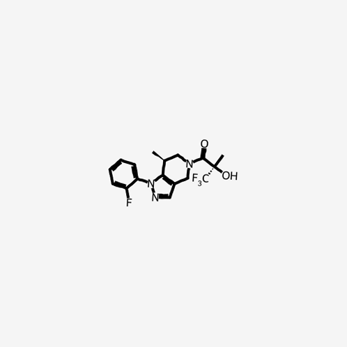 C[C@H]1CN(C(=O)[C@@](C)(O)C(F)(F)F)Cc2cnn(-c3ccccc3F)c21